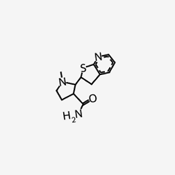 CN1CCC(C(N)=O)C1C1Cc2cccnc2S1